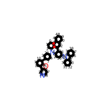 c1ccc(N(c2ccc(-c3cccc4c3oc3ccncc34)cc2)c2ccc(-n3c4ccccc4c4ccccc43)cc2-c2ccc3ccccc3c2)cc1